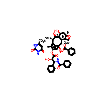 CC(=O)O[C@H]1C(=O)[C@@]2(C)[C@H]([C@H](OC(=O)c3ccccc3)[C@]3(O)C[C@H](OC(=O)[C@H](O)[C@@H](NC(=O)c4ccccc4)c4ccccc4)C(C)=C1C3(C)C)[C@]1(OC(C)=O)CO[C@@H]1C[C@@H]2O.O=C(O)c1cc(=O)[nH]c(=O)[nH]1